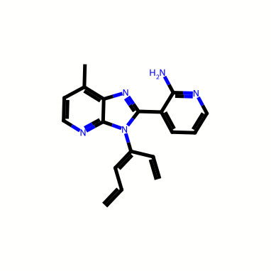 C=C/C=C(\C=C)n1c(-c2cccnc2N)nc2c(C)ccnc21